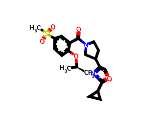 C[C@@H](Oc1ccc(S(C)(=O)=O)cc1C(=O)N1CCC(c2coc(C3CC3)n2)C1)C(F)(F)F